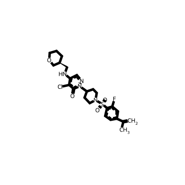 C=C(C)c1ccc(S(=O)(=O)N2CCC(n3ncc(NC[C@@H]4CCCOC4)c(Cl)c3=O)CC2)c(F)c1